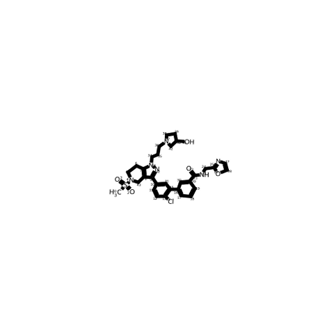 CS(=O)(=O)N1CCc2c(c(-c3ccc(Cl)c(-c4cccc(C(=O)NCc5ncco5)c4)c3)nn2CCCN2CCC(O)C2)C1